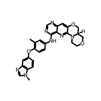 Cc1cc(Nc2ncnc3cc4c(nc23)N2CCOC[C@H]2CO4)ccc1Oc1ccc2c(c1)ncn2C